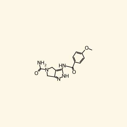 COc1ccc(C(=O)Nc2[nH]nc3c2CN(C(N)=O)C3)cc1